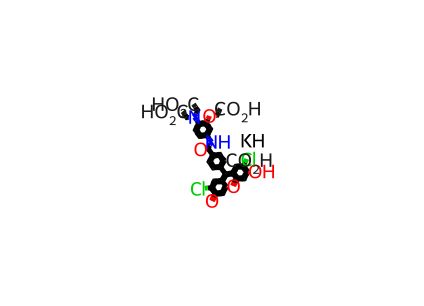 O=C(O)COc1cc(NC(=O)c2ccc(-c3c4cc(Cl)c(=O)cc-4oc4cc(O)c(Cl)cc34)c(C(=O)O)c2)ccc1N(CC(=O)O)CC(=O)O.[KH]